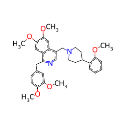 COc1ccc(Cc2ncc(CN3CCC(c4ccccc4OC)CC3)c3cc(OC)c(OC)cc23)cc1OC